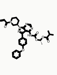 C=CC(=O)N1CCC[C@@H](n2nc(-c3ccc(Oc4ccccc4)cc3)c3c(NC(=O)O[C@@H](C)OC(=O)C(C)C)ncnc32)C1